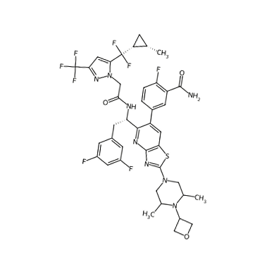 CC1CN(c2nc3nc([C@H](Cc4cc(F)cc(F)c4)NC(=O)Cn4nc(C(F)(F)F)cc4C(F)(F)[C@@H]4C[C@@H]4C)c(-c4ccc(F)c(C(N)=O)c4)cc3s2)CC(C)N1C1COC1